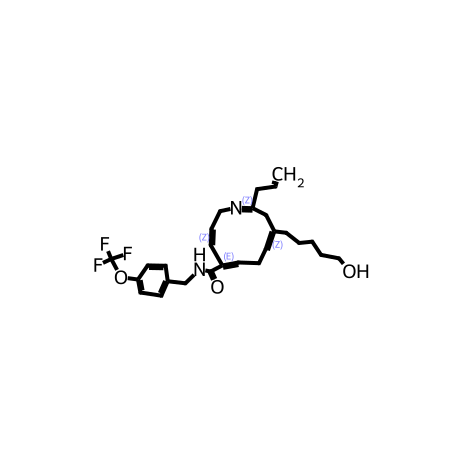 C=CC/C1=N/C/C=C\C(C(=O)NCc2ccc(OC(F)(F)F)cc2)=C/C/C=C(/CCCCCO)C1